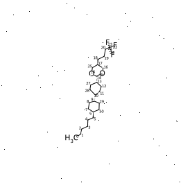 CCCCCC[C@H]1CC[C@H](C2CCC([C@H]3OC[C@H](CCCC(F)(F)F)CO3)CC2)CC1